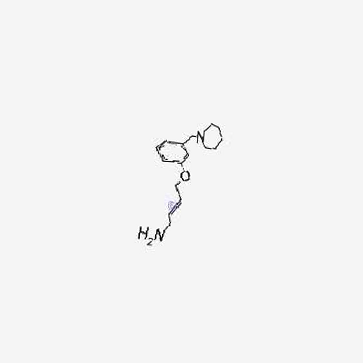 NC/C=C/COc1cccc(CN2CCCCC2)c1